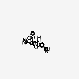 Cn1cc(-c2ccc(Nc3cc4c(cn3)cc(-c3cnn(C)c3)n4C(=O)OC3CCCC3)c(Cl)c2)cn1